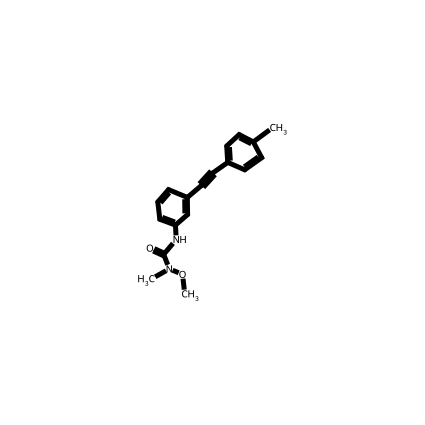 CON(C)C(=O)Nc1cccc(C#Cc2ccc(C)cc2)c1